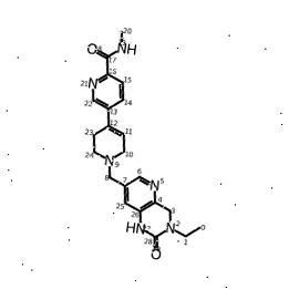 CCN1Cc2ncc(CN3CC=C(c4ccc(C(=O)NC)nc4)CC3)cc2NC1=O